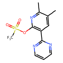 Cc1cc(-c2ncccn2)c(OS(=O)(=O)C(F)(F)F)nc1C